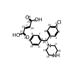 Clc1ccc([C@@H](c2ccccc2)N2CCNCC2)cc1.O=C(O)/C=C/C(=O)O